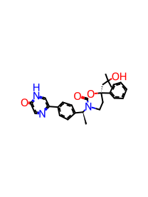 C[C@@H](c1ccc(-c2c[nH]c(=O)cn2)cc1)N1CC[C@](CC(C)(C)O)(c2ccccc2)OC1=O